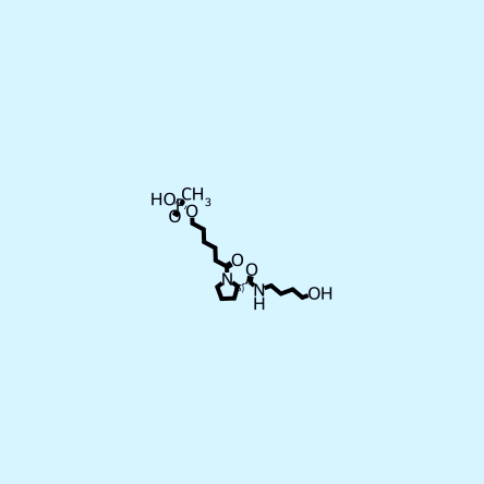 CP(=O)(O)OCCCCCC(=O)N1CCC[C@H]1C(=O)NCCCCO